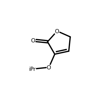 CC(C)OC1=CCOC1=O